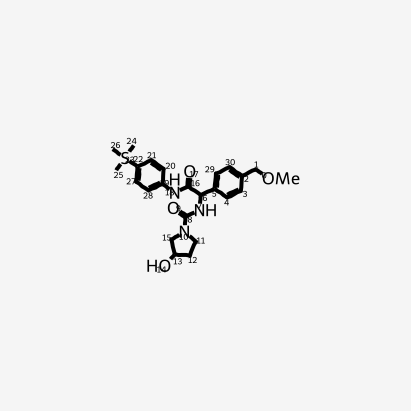 COCc1ccc(C(NC(=O)N2CCC(O)C2)C(=O)Nc2ccc(S(C)(C)C)cc2)cc1